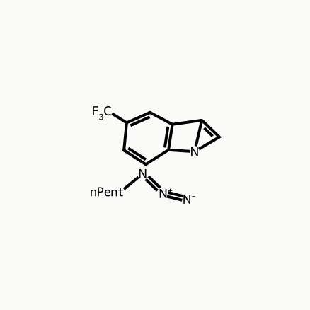 CCCCCN=[N+]=[N-].FC(F)(F)c1ccc2c(c1)c1cn2-1